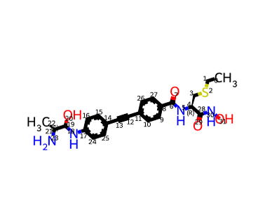 CCSC[C@H](NC(=O)c1ccc(C#Cc2ccc(NC(O)[C@H](C)N)cc2)cc1)C(=O)NO